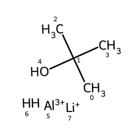 CC(C)(C)O.[Al+3].[HH].[Li+]